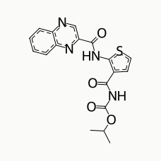 CC(C)OC(=O)NC(=O)c1ccsc1NC(=O)c1cnc2ccccc2n1